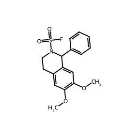 COc1cc2c(cc1OC)C(c1ccccc1)N(S(=O)(=O)F)CC2